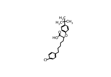 CC(C)(C)c1ccc(OC(CCCCCc2ccc(Cl)cc2)C(=O)O)cc1